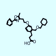 Cc1oc(-c2ccccc2)nc1CCOc1ccc(CCC(=O)O)c(COCC2CCCCC2)c1